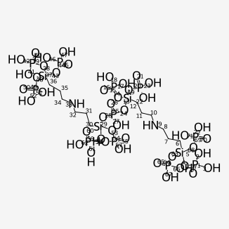 O=P(O)(O)O[Si](CCCNCCC[Si](OP(=O)(O)O)(OP(=O)(O)O)OP(=O)(O)O[Si](CCCNCCC[Si](OP(=O)(O)O)(OP(=O)(O)O)OP(=O)(O)O)(OP(=O)(O)O)OP(=O)(O)O)(OP(=O)(O)O)OP(=O)(O)O